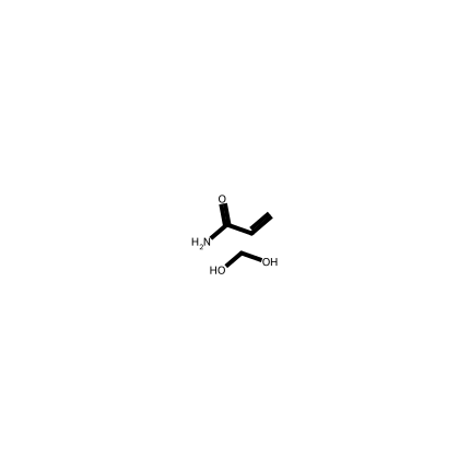 C=CC(N)=O.OCO